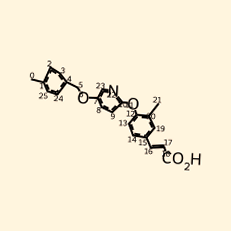 Cc1ccc(COc2ccc(Oc3ccc(/C=C/C(=O)O)cc3C)nc2)cc1